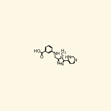 Cn1c(CNc2cccc(C(=O)O)c2)nnc1C1=CC=NCN1